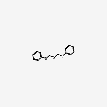 c1ccc(SCSCSc2ccccc2)cc1